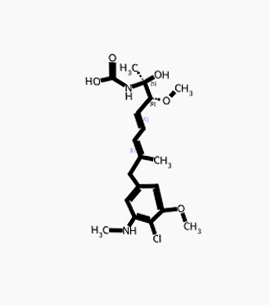 CNc1cc(C/C(C)=C/C=C/[C@@H](OC)[C@](C)(O)NC(=O)O)cc(OC)c1Cl